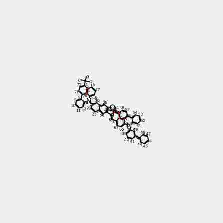 CC(C)(C)c1ccc(-c2ccccc2N(c2ccccc2)c2ccc3cc4c(cc3c2)oc2cc3cc(N(c5cccc(-c6ccccc6)c5)c5ccccc5-c5ccc(C(C)(C)C)cc5)ccc3cc24)cc1